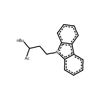 CCCCC(CCn1c2ccccc2c2ccccc21)C(C)=O